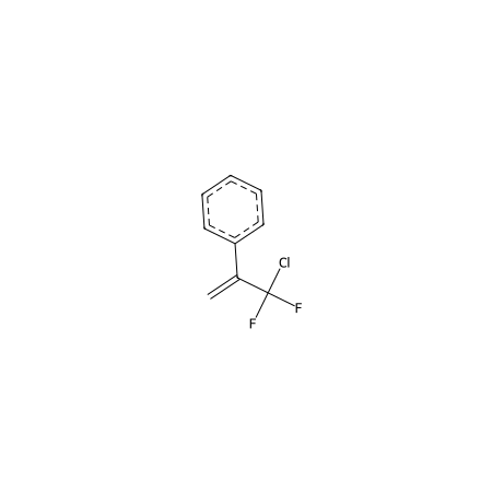 C=C(c1ccccc1)C(F)(F)Cl